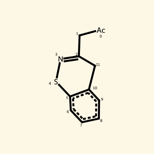 CC(=O)CC1=NSc2ccccc2C1